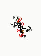 Cc1c(C#C[Si](C(C)C)(C(C)C)C(C)C)c2c3sc(OC(=O)C(F)(F)F)cc3c(=O)c2c2c(C)c(C#C[Si](C(C)C)(C(C)C)C(C)C)c3c4sc(OC(=O)C(F)(F)F)cc4c(=O)c3c12